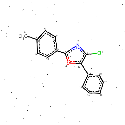 Clc1nc(-c2ccc(C(Cl)(Cl)Cl)cc2)oc1-c1ccccc1